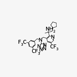 Cn1nnc(N(Cc2cc(C(F)(F)F)cc(C(F)(F)F)c2)Cc2cc(C(F)(F)F)cnc2C(C)(N)CC2CCCC2)n1